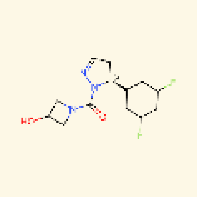 O=C(N1CC(O)C1)N1N=CC[C@H]1C1CC(F)CC(F)C1